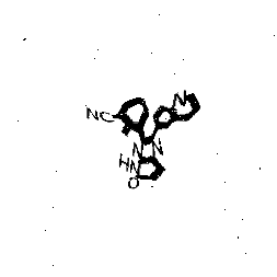 Cc1c(C#N)cccc1-c1nc2[nH]c(=O)ccc2nc1-c1ccc2ncccc2c1